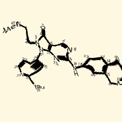 CNCCn1c(=O)c2cnc(Nc3ccc4c(c3)CNCC4)nc2n1-c1ccnc(C(C)(C)C)c1